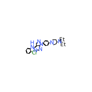 CCN(CC)C1CCN(c2ccc(-n3ncc4c(Nc5ccccc5Cl)ncnc43)cc2)CC1